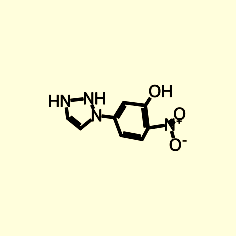 O=[N+]([O-])c1ccc(N2C=CNN2)cc1O